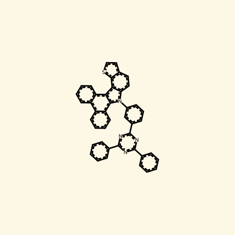 c1ccc(-c2nc(-c3ccccc3)nc(-c3cccc(-n4c5ccc6ccsc6c5c5c6ccccc6c6ccccc6c54)c3)n2)cc1